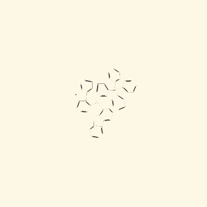 CC1(C)c2ccccc2-c2c(N(c3cccc4c3-c3ccccc3C4(c3ccccc3)c3ccccc3)c3cccc4c3sc3ccccc34)cccc21